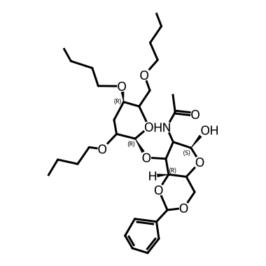 CCCCOCC1O[C@@H](OC2C(NC(C)=O)[C@@H](O)OC3COC(c4ccccc4)O[C@@H]32)C(OCCCC)C[C@H]1OCCCC